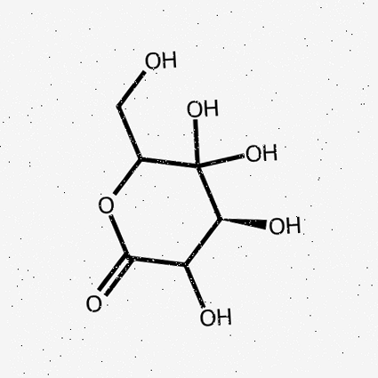 O=C1OC(CO)C(O)(O)[C@@H](O)C1O